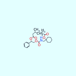 CC(=O)OC1(CNC(=O)OCC(OC(=O)CC(C)C)c2ccccc2)CCCCC1